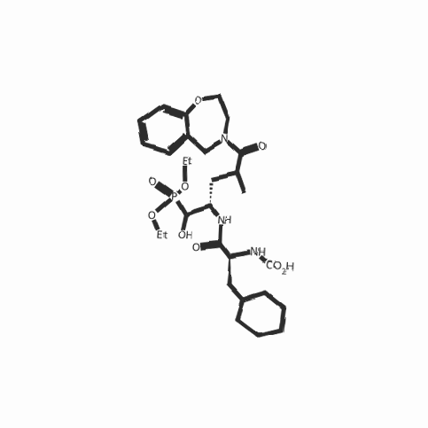 CCOP(=O)(OCC)C(O)[C@H](CC(C)C(=O)N1CCOc2ccccc2C1)NC(=O)[C@H](CC1CCCCC1)NC(=O)O